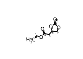 C=COC(=O)CC1COC(=O)O1